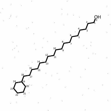 OCCCCCCCCCCCCCCCCCCC1CCCCC1